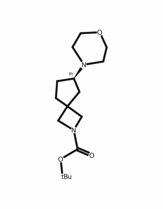 CC(C)(C)OC(=O)N1CC2(CC[C@@H](N3CCOCC3)C2)C1